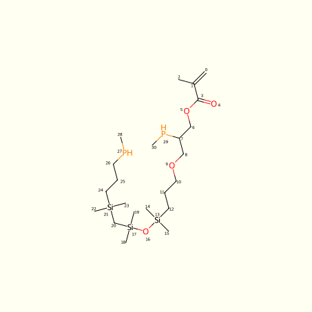 C=C(C)C(=O)OCC(COCCC[Si](C)(C)O[Si](C)(C)C[Si](C)(C)CCCPC)PC